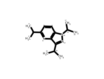 CC(C)c1ccc2c(n1)c(C(C)C)nn2C(C)C